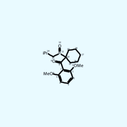 COc1cccc(OC)c1C(=O)C1([P](=O)CC(C)C)CCCCC1